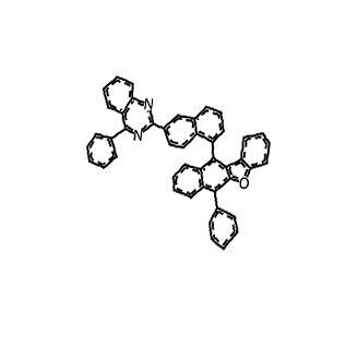 c1ccc(-c2nc(-c3ccc4c(-c5c6ccccc6c(-c6ccccc6)c6oc7ccccc7c56)cccc4c3)nc3ccccc23)cc1